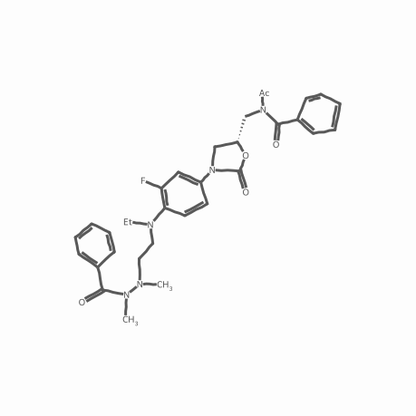 CCN(CCN(C)N(C)C(=O)c1ccccc1)c1ccc(N2C[C@H](CN(C(C)=O)C(=O)c3ccccc3)OC2=O)cc1F